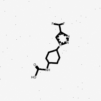 O=C(O)NC1CCC(n2cc(C(F)F)nn2)CC1